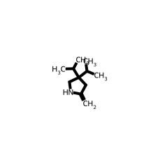 C=C1CC(C(C)C)(C(C)C)CN1